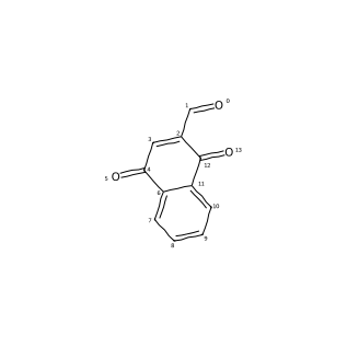 O=CC1=CC(=O)c2ccccc2C1=O